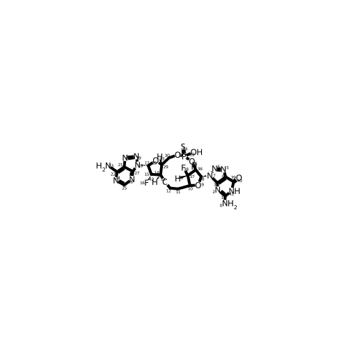 Nc1nc2c(nnn2[C@@H]2OC3CCC[C@H]4[C@H](F)[C@H](n5nnc6c(N)ncnc65)O[C@@H]4COP(O)(=S)O[C@@H]2[C@H]3F)c(=O)[nH]1